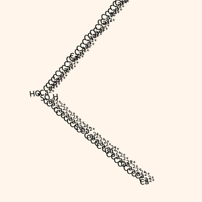 O=S(=O)(O)O.[Ca+2].[Ca+2].[Ca+2].[Ca+2].[Ca+2].[Ca+2].[Ca+2].[Ca+2].[Ca+2].[Ca+2].[Ca+2].[Ca+2].[Ca+2].[Ca+2].[Ca+2].[Ca+2].[Ca+2].[Ca+2].[Ca+2].[Ca+2].[Ca+2].[Ca+2].[Ca+2].[Ca+2].[Ca+2].[Ca+2].[Ca+2].[Ca+2].[Ca+2].[Ca+2].[Ca+2].[Ca+2].[Ca+2].[Ca+2].[Ca+2].[Ca+2].[Ca+2].[Ca+2].[Ca+2].[Ca+2].[Ca+2].[Ca+2].[Ca+2].[Ca+2].[Ca+2].[Ca+2].[Ca+2].[Ca+2].[Ca+2].[Ca+2].[Ca+2].[Ca+2].[Ca+2].[Ca+2].[Ca+2].[Ca+2].[Ca+2].[Ca+2].[Ca+2].[Ca+2].[Ca+2].[Ca+2]